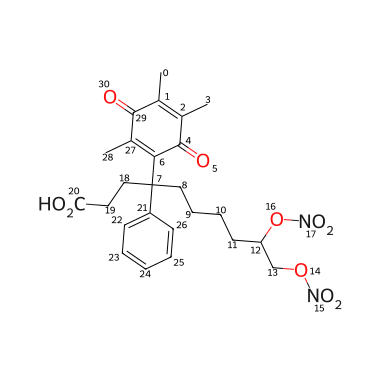 CC1=C(C)C(=O)C(C(CCCCC(CO[N+](=O)[O-])O[N+](=O)[O-])(CCC(=O)O)c2ccccc2)=C(C)C1=O